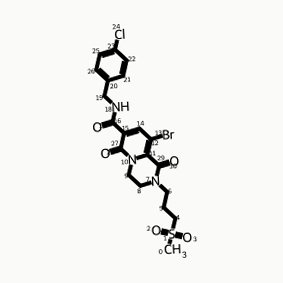 CS(=O)(=O)CCCN1CCn2c(c(Br)cc(C(=O)NCc3ccc(Cl)cc3)c2=O)C1=O